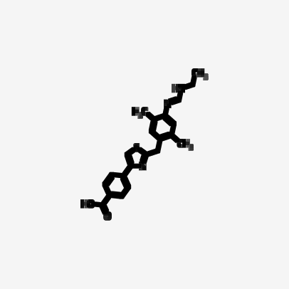 CCN/C=N/c1cc(C)c(Cc2nc(-c3ccc(C(=O)O)cc3)cs2)cc1C